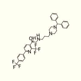 O[C@@H](CNCCCN1CCN(C(c2ccccc2)c2ccccc2)CC1)c1ccc(-c2ccc(C(F)(F)F)cc2)nc1C(F)(F)F